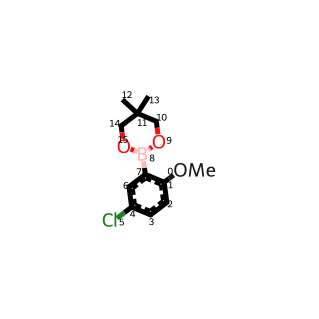 COc1ccc(Cl)cc1B1OCC(C)(C)CO1